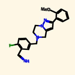 COc1ccccc1-c1cc2n(n1)CCN(Cc1ccc(F)c(C=N)c1)C2